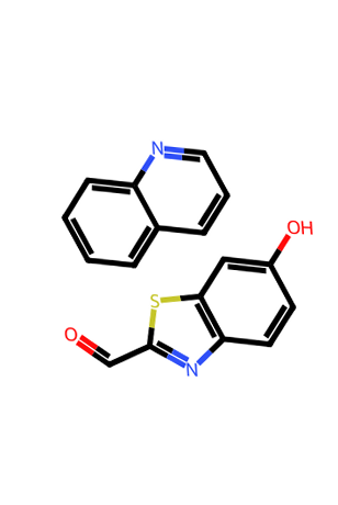 O=Cc1nc2ccc(O)cc2s1.c1ccc2ncccc2c1